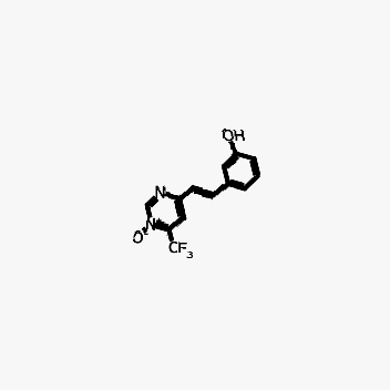 [O-][n+]1cnc(C=Cc2cccc(O)c2)cc1C(F)(F)F